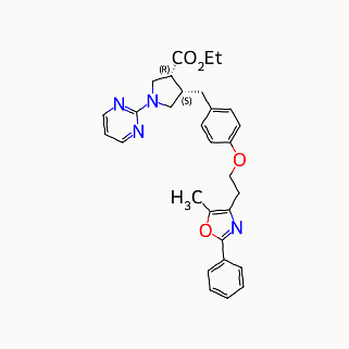 CCOC(=O)[C@H]1CN(c2ncccn2)C[C@H]1Cc1ccc(OCCc2nc(-c3ccccc3)oc2C)cc1